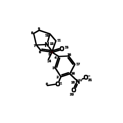 COc1cc(C2=CC3CCC(C2)N3C(C)=O)ccc1[N+](=O)[O-]